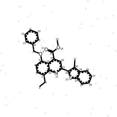 CCc1ccc(OCc2ccccc2)c2c(C(=O)OC)cc(-c3sc4ccccc4c3C)nc12